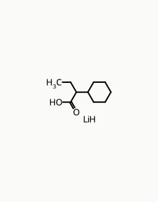 CCC(C(=O)O)C1CCCCC1.[LiH]